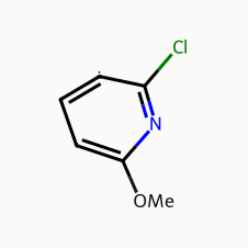 COc1cc[c]c(Cl)n1